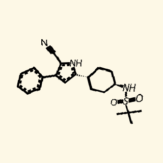 CC(C)(C)S(=O)(=O)N[C@H]1CC[C@H](c2cc(-c3ccccc3)c(C#N)[nH]2)CC1